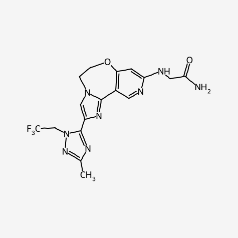 Cc1nc(-c2cn3c(n2)-c2cnc(NCC(N)=O)cc2OCC3)n(CC(F)(F)F)n1